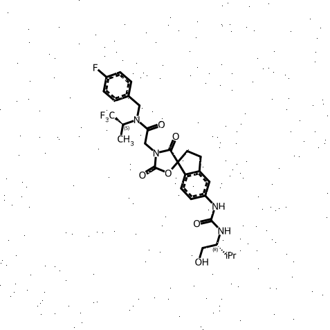 CC(C)[C@H](CO)NC(=O)Nc1ccc2c(c1)CCC21OC(=O)N(CC(=O)N(Cc2ccc(F)cc2)[C@@H](C)C(F)(F)F)C1=O